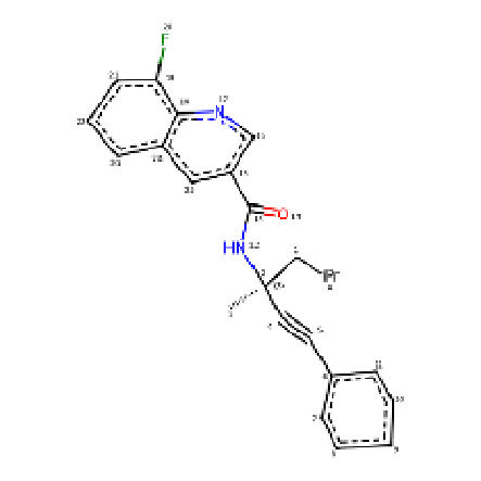 CC(C)C[C@@](C)(C#Cc1ccccc1)NC(=O)c1cnc2c(F)cccc2c1